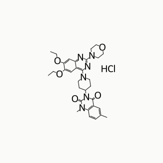 CCOc1cc2nc(N3CCOCC3)nc(N3CCC(n4c(=O)c5cc(C)ccc5n(C)c4=O)CC3)c2cc1OCC.Cl